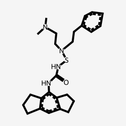 CN(C)CCN(CCc1ccccc1)SNC(=O)Nc1c2c(cc3c1CCC3)CCC2